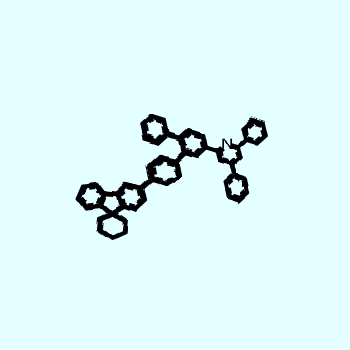 c1ccc(-c2cc(-c3ccccc3)nc(-c3ccc(-c4ccccc4)c(-c4ccc(-c5ccc6c(c5)-c5ccccc5C65CCCCC5)cc4)c3)c2)cc1